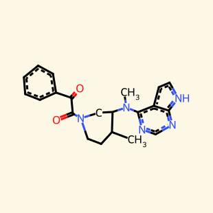 CC1CCN(C(=O)C(=O)c2ccccc2)CC1N(C)c1ncnc2[nH]ccc12